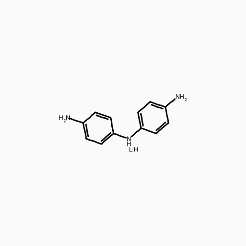 Nc1ccc(Nc2ccc(N)cc2)cc1.[LiH]